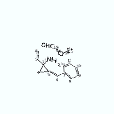 C=CC1(N)CC1=Cc1ccccc1.CCOC=O